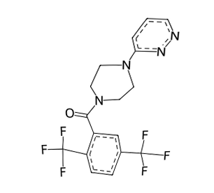 O=C(c1cc(C(F)(F)F)ccc1C(F)(F)F)N1CCN(c2cccnn2)CC1